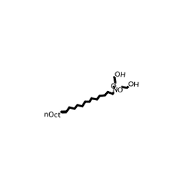 CCCCCCCCC=CCCCCCCCCCCCCN(OCCO)OCCO